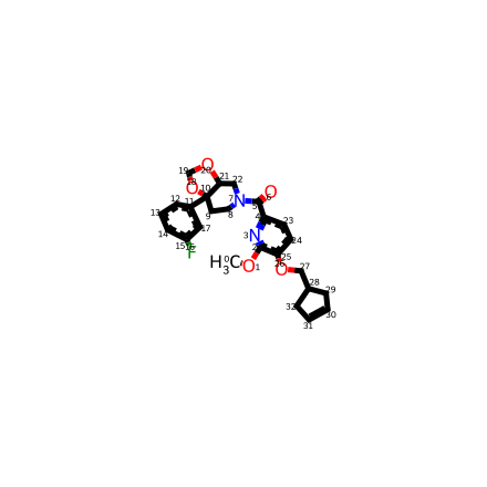 COc1nc(C(=O)N2CCC3(c4cccc(F)c4)OCOC3C2)ccc1OCC1CC=CC1